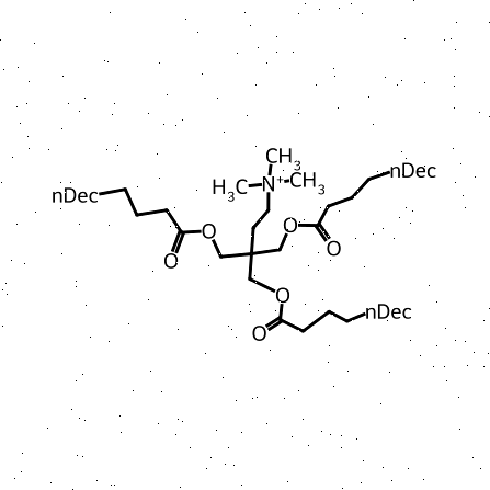 CCCCCCCCCCCCCC(=O)OCC(CC[N+](C)(C)C)(COC(=O)CCCCCCCCCCCCC)COC(=O)CCCCCCCCCCCCC